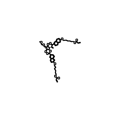 C=CC(=O)OCCCCCCOc1ccc2cc(C(=O)O[C@H]3C(=O)N(COCOC)C(=O)[C@@H]3C(=C)C(=O)c3ccc4cc(OCCCCCCOC(=O)C=C)ccc4c3)ccc2c1